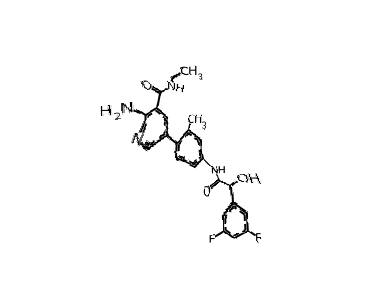 CCNC(=O)c1cc(-c2ccc(NC(=O)C(O)c3cc(F)cc(F)c3)cc2C)cnc1N